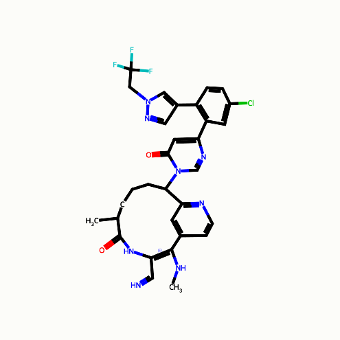 CN/C1=C(\C=N)NC(=O)C(C)CCCC(n2cnc(-c3cc(Cl)ccc3-c3cnn(CC(F)(F)F)c3)cc2=O)c2cc1ccn2